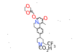 Cc1c2n(c(OC[C@@H]3COCCO3)cc1=O)CCc1cc(C3CCN(C(=O)O)C(CC(F)(F)F)C3)ccc1-2